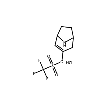 Cl.O=S(=O)(OC1=CC2CCC(C1)N2)C(F)(F)F